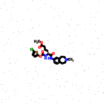 COC(=O)CCC[C@@H](NC(=O)Oc1ccc(Cl)s1)C(=O)Nc1ccc2c(c1)CCN(C)CC2